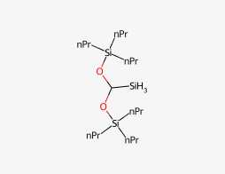 CCC[Si](CCC)(CCC)OC([SiH3])O[Si](CCC)(CCC)CCC